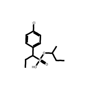 CCC(C)OP(=O)(O)C(CC)c1ccc(Cl)cc1